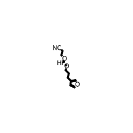 N#CCCOPOCCCc1ccoc1